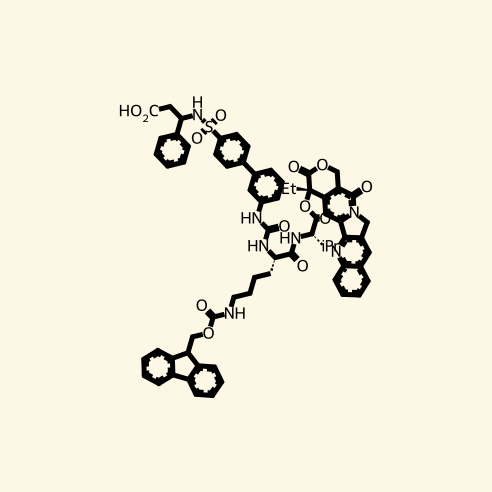 CC[C@@]1(OC(=O)[C@@H](NC(=O)[C@H](CCCCNC(=O)OCC2c3ccccc3-c3ccccc32)NC(=O)Nc2cccc(-c3ccc(S(=O)(=O)NC(CC(=O)O)c4ccccc4)cc3)c2)C(C)C)C(=O)OCc2c1cc1n(c2=O)Cc2cc3ccccc3nc2-1